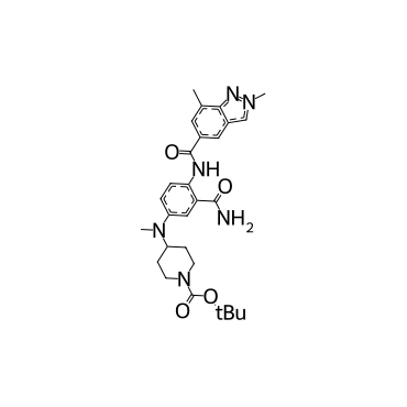 Cc1cc(C(=O)Nc2ccc(N(C)C3CCN(C(=O)OC(C)(C)C)CC3)cc2C(N)=O)cc2cn(C)nc12